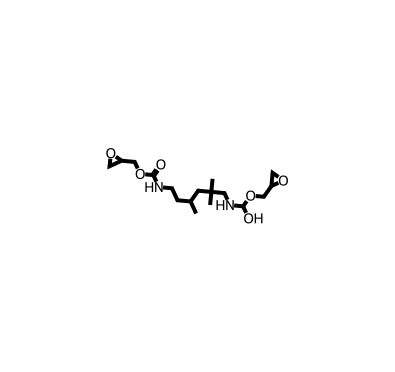 CC(CCNC(=O)OCC1CO1)CC(C)(C)CNC(O)OCC1CO1